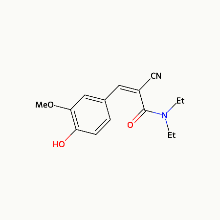 CCN(CC)C(=O)C(C#N)=Cc1ccc(O)c(OC)c1